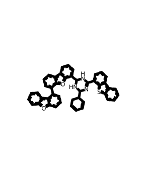 C1=CCC(C2N=C(c3cccc4c3sc3ccccc34)NC(c3cccc4c3oc3c(-c5cccc6oc7ccccc7c56)cccc34)N2)C=C1